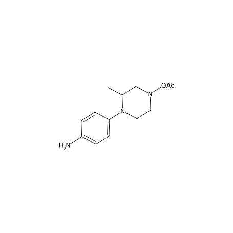 CC(=O)ON1CCN(c2ccc(N)cc2)C(C)C1